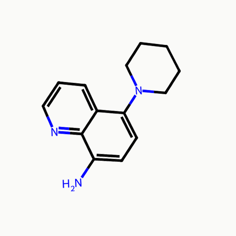 Nc1ccc(N2CCCCC2)c2cccnc12